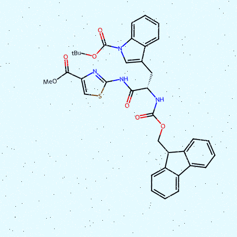 COC(=O)c1csc(NC(=O)[C@H](Cc2cn(C(=O)OC(C)(C)C)c3ccccc23)NC(=O)OCC2c3ccccc3-c3ccccc32)n1